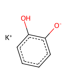 [K+].[O-]c1ccccc1O